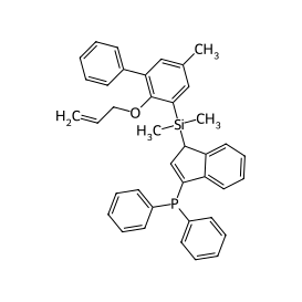 C=CCOc1c(-c2ccccc2)cc(C)cc1[Si](C)(C)C1C=C(P(c2ccccc2)c2ccccc2)c2ccccc21